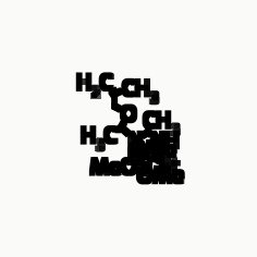 C=C(C)COC(C)NC(C)NC(CC)[Si](OC)(OC)OC